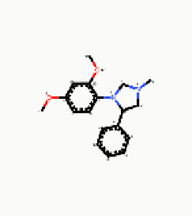 COc1ccc(N2CN(C)CC2c2ccccc2)c(OC)c1